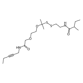 CCC#CCNC(=O)COCCOC(C)(C)SSCCNC(=O)C(C)CC